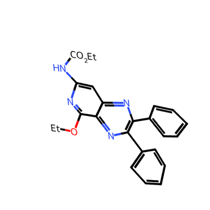 CCOC(=O)Nc1cc2nc(-c3ccccc3)c(-c3ccccc3)nc2c(OCC)n1